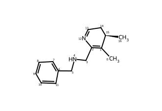 CC1=C(CNCc2ccccc2)N=CC[C@H]1C